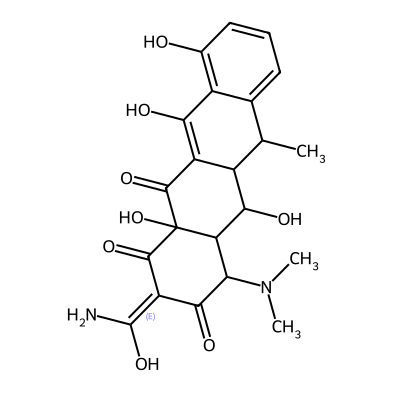 CC1c2cccc(O)c2C(O)=C2C(=O)C3(O)C(=O)/C(=C(\N)O)C(=O)C(N(C)C)C3C(O)C21